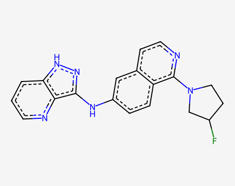 FC1CCN(c2nccc3cc(Nc4n[nH]c5cccnc45)ccc23)C1